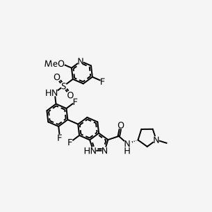 COc1ncc(F)cc1S(=O)(=O)Nc1ccc(F)c(-c2ccc3c(C(=O)N[C@@H]4CCN(C)C4)n[nH]c3c2F)c1F